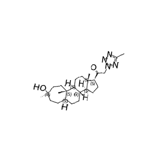 Cc1nnn(CC(=O)[C@H]2CC[C@H]3[C@@H]4CC[C@H]5CC[C@@](C)(O)CC[C@]5(C)[C@H]4CC[C@]23C)n1